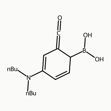 CCCCN(CCCC)C1=CC(=C=O)C(B(O)O)C=C1